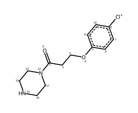 O=C(CCOc1ccc(Cl)cc1)N1CCNCC1